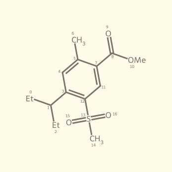 CCC(CC)c1cc(C)c(C(=O)OC)cc1S(C)(=O)=O